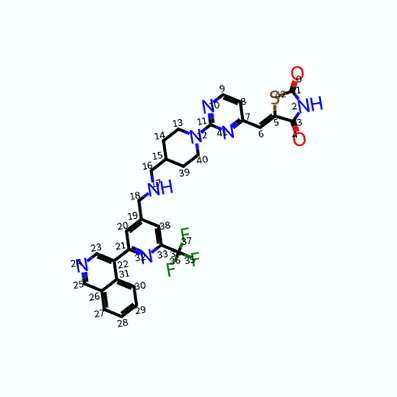 O=C1NC(=O)/C(=C/c2ccnc(N3CCC(CNCc4cc(-c5cncc6ccccc56)nc(C(F)(F)F)c4)CC3)n2)S1